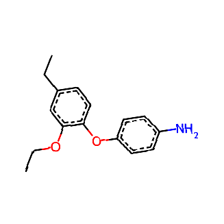 CCOc1cc(CC)ccc1Oc1ccc(N)cc1